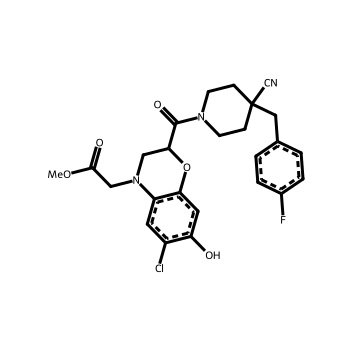 COC(=O)CN1CC(C(=O)N2CCC(C#N)(Cc3ccc(F)cc3)CC2)Oc2cc(O)c(Cl)cc21